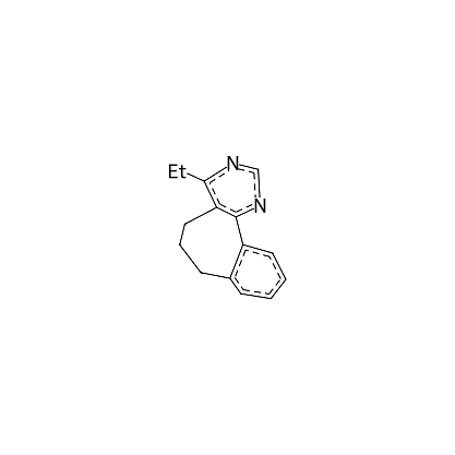 CCc1ncnc2c1CCCc1ccccc1-2